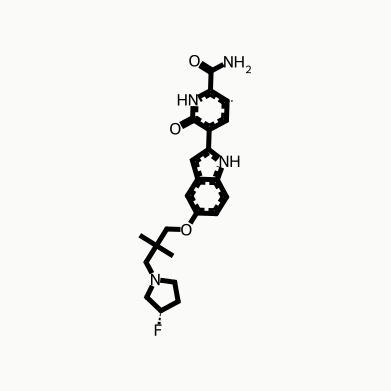 CC(C)(COc1ccc2[nH]c(-c3c[c]c(C(N)=O)[nH]c3=O)cc2c1)CN1CC[C@H](F)C1